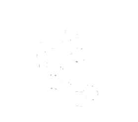 O[C@H](CN1c2ccccc2N(C2CCCc3ccccc32)CC1c1cccc(C(F)(F)F)c1)C(F)(F)F